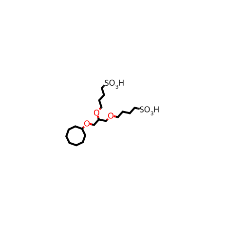 O=S(=O)(O)CCCCOCC(COC1CCCCCCC1)OCCCCS(=O)(=O)O